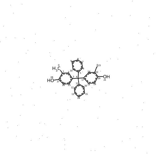 Cc1cc(C(c2ccccc2)(c2ccccc2)c2ccc(O)c(I)c2)ccc1O